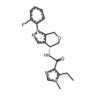 CCc1c(C(=O)N[C@H]2COCc3c2cnn3-c2ccccc2F)ncn1C